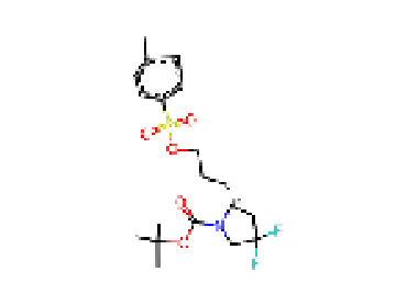 Cc1ccc(S(=O)(=O)OCCC[C@@H]2CC(F)(F)CN2C(=O)OC(C)(C)C)cc1